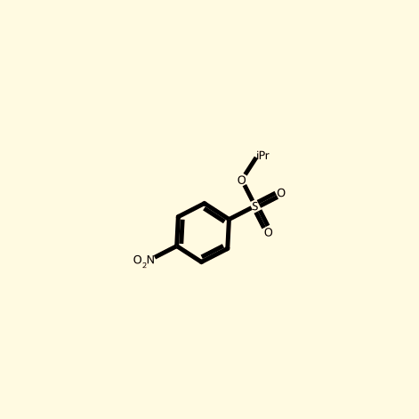 CC(C)OS(=O)(=O)c1ccc([N+](=O)[O-])cc1